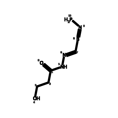 O=C(CCO)NN=C/B=N/P